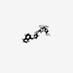 Cc1csc(C(C)(O)c2nnc(Nc3ccn(Cc4cccc5cccnc45)n3)s2)n1